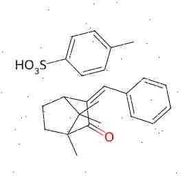 CC12CCC(C(=Cc3ccccc3)C1=O)C2(C)C.Cc1ccc(S(=O)(=O)O)cc1